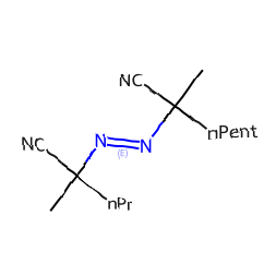 CCCCCC(C)(C#N)/N=N/C(C)(C#N)CCC